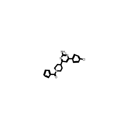 Nc1nc(-c2ccc(Cl)cc2)cc(C2CCN(C(=O)c3ccccc3)CC2)n1